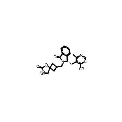 Cc1ncnc(C#N)c1C[C@H]1c2ccccc2C(=O)N1CC1CC2(CNC(=O)O2)C1